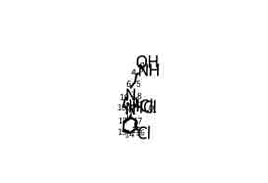 Cl.Cl.ONCCCN1CCN(c2cccc(Cl)c2)CC1